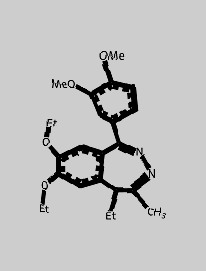 CCOc1cc2c(cc1OCC)C(CC)C(C)=NN=C2c1ccc(OC)c(OC)c1